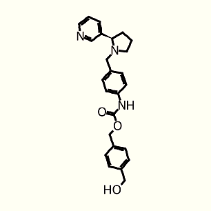 O=C(Nc1ccc(CN2CCC[C@@H]2c2cccnc2)cc1)OCc1ccc(CO)cc1